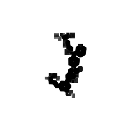 C[C@H](N)CCCc1cc(-c2cc3cn(-c4ccc([C@@H](NCCCNC(=N)N)c5cccnc5)cc4)c(=O)nc3[nH]2)cc(C(F)(F)F)c1